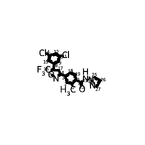 Cc1cc(C2=NOC(c3cc(Cl)cc(Cl)c3)(C(F)(F)F)C2)ccc1C(=O)Nn1cccn1